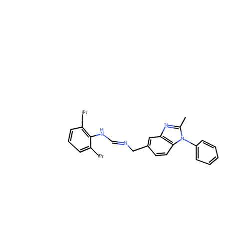 Cc1nc2cc(C/N=C/Nc3c(C(C)C)cccc3C(C)C)ccc2n1-c1ccccc1